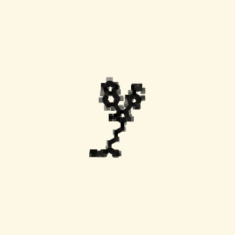 COC(=O)CCCCc1nc(-c2nc(C)cs2)c(-c2ccc3ncsc3c2)[nH]1